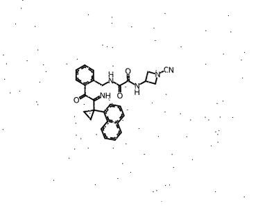 N#CN1CC(NC(=O)C(=O)NCc2ccccc2C(=O)C(=N)C2(c3cccc4ccccc34)CC2)C1